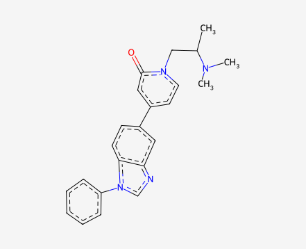 CC(Cn1ccc(-c2ccc3c(c2)ncn3-c2ccccc2)cc1=O)N(C)C